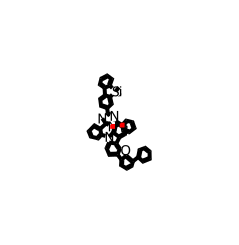 C[Si]1(C)c2ccccc2-c2ccc(-c3nc(-c4ccccc4)nc(-c4ccccc4-n4c5ccccc5c5c6oc7c(-c8ccccc8)cccc7c6ccc54)n3)cc21